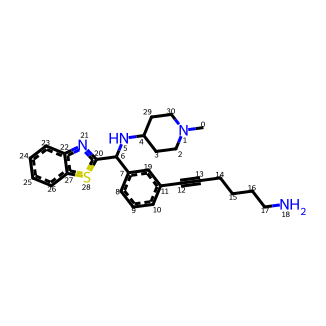 CN1CCC(NC(c2cccc(C#CCCCCN)c2)c2nc3ccccc3s2)CC1